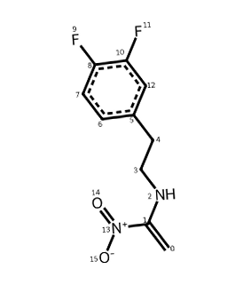 C=C(NCCc1ccc(F)c(F)c1)[N+](=O)[O-]